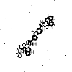 COC(=O)N[C@H](C(=O)N1[C@H](c2ncc(-c3ccc4c5ccc(-c6cnc([C@@H]7C[C@H]8CCC[C@H]8N7C(=O)[C@@H](C)[C@@H](C)OC)[nH]6)cc5n(C)c4c3)[nH]2)C[C@@H]2CCC[C@@H]21)C(C)C